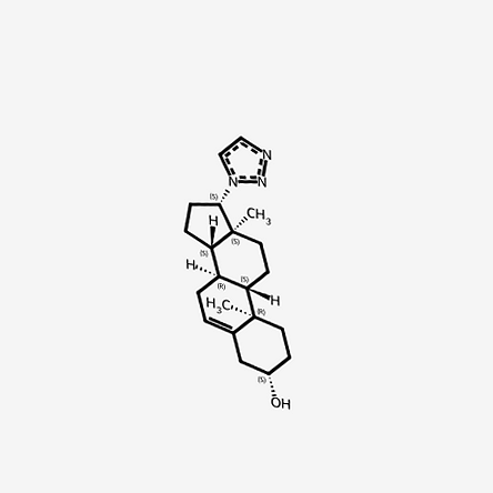 C[C@]12CC[C@H]3[C@@H](CC=C4C[C@@H](O)CC[C@@]43C)[C@@H]1CC[C@@H]2n1ccnn1